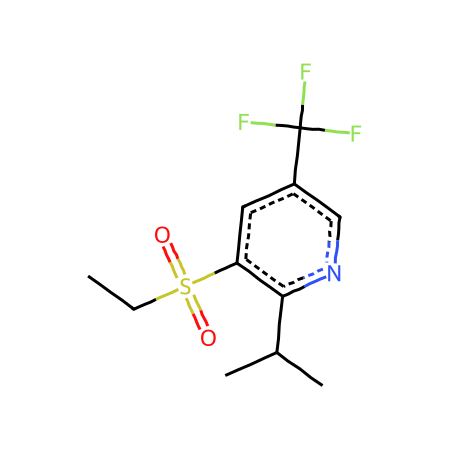 CCS(=O)(=O)c1cc(C(F)(F)F)cnc1C(C)C